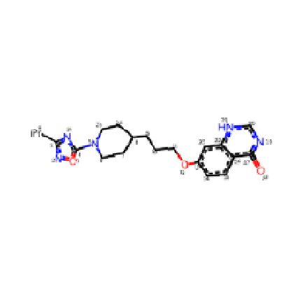 CC(C)c1noc(N2CCC(CCCOc3ccc4c(=O)nc[nH]c4c3)CC2)n1